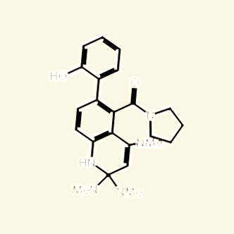 CNC1=CC(NC)(NC)Nc2ccc(-c3ccccc3O)c(C(=O)N3CCCC3)c21